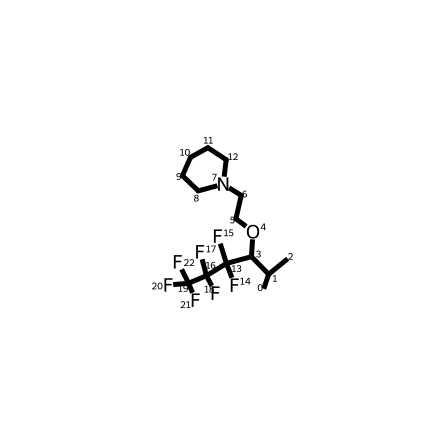 CC(C)C(OCCN1CCCCC1)C(F)(F)C(F)(F)C(F)(F)F